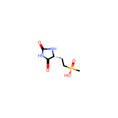 CP(=O)(O)CC[C@H]1NC(=O)NC1=O